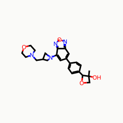 CC1(O)COC1c1ccc(-c2cc(N3CC(CN4CCOCC4)C3)c3nonc3c2)cc1